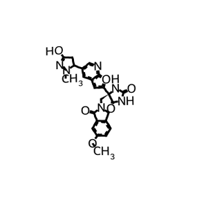 COc1ccc2c(c1)C(=O)N(C[C@@]1(c3cc4cc(C5CC(O)=NN5C)cnc4o3)NC(=O)NC1=O)C2